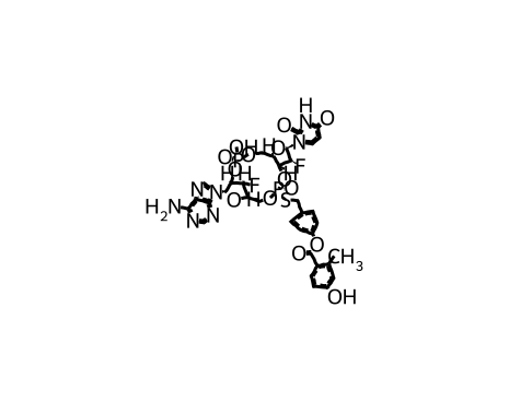 Cc1cc(O)ccc1C(=O)Oc1ccc(CS[P@@]2(=O)OC[C@H]3O[C@@H](n4cnc5c(N)ncnc54)[C@H](OP(=O)(O)OC[C@H]4O[C@@H](n5ccc(=O)[nH]c5=O)[C@H](F)[C@@H]4O2)[C@@H]3F)cc1